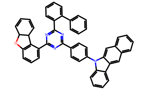 C1=CC2Oc3cccc(-c4nc(-c5ccc(-n6c7ccccc7c7cc8ccccc8cc76)cc5)nc(-c5ccccc5-c5ccccc5)n4)c3C2C=C1